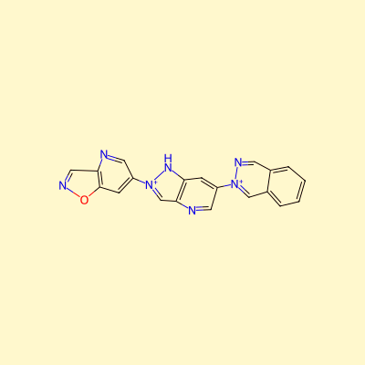 c1ccc2c[n+](-c3cnc4c[n+](-c5cnc6cnoc6c5)[nH]c4c3)ncc2c1